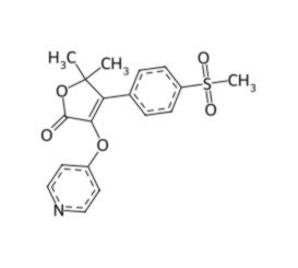 CC1(C)OC(=O)C(Oc2ccncc2)=C1c1ccc(S(C)(=O)=O)cc1